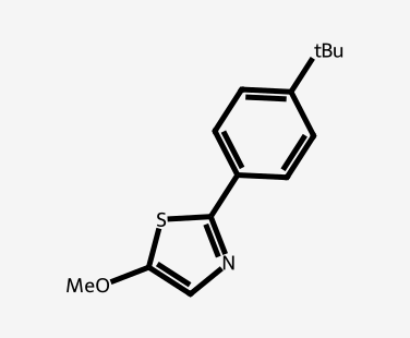 COc1cnc(-c2ccc(C(C)(C)C)cc2)s1